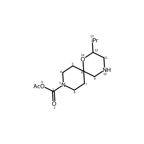 CC(=O)OC(=O)N1CCC2(CC1)CNCC(C(C)C)O2